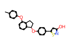 Cc1ccc(Oc2cccc3c2CC[C@H]3Oc2ccc(-c3cc(O)ns3)cc2)cc1